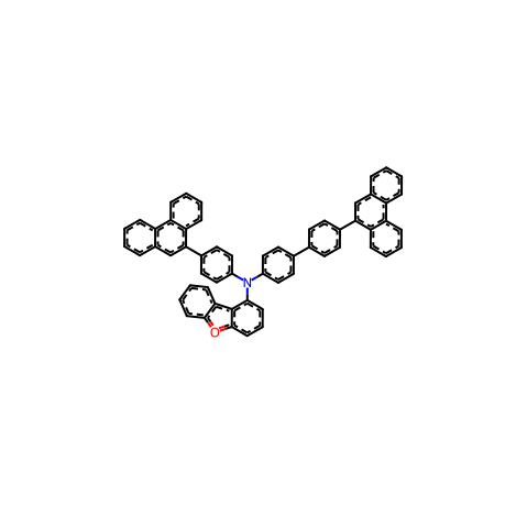 c1ccc2c(c1)cc(-c1ccc(-c3ccc(N(c4ccc(-c5cc6ccccc6c6ccccc56)cc4)c4cccc5oc6ccccc6c45)cc3)cc1)c1ccccc12